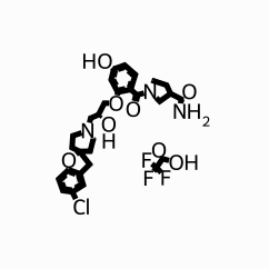 NC(=O)C1CCN(C(=O)c2ccc(O)cc2OC[C@@H](O)CN2CCC3(CC2)Cc2cc(Cl)ccc2O3)C1.O=C(O)C(F)(F)F